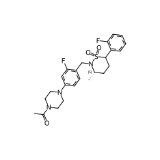 CC(=O)N1CCN(c2ccc(CN3[C@@H](C)CCC(c4ccccc4F)S3(=O)=O)c(F)c2)CC1